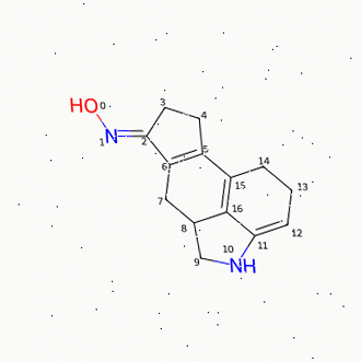 ON=C1CCC2=C1CC1CNC3=CCCC2=C31